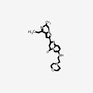 CCc1nc(C)cn2nc(-c3cc(=O)n4cc(NCCN5CCOCC5)ccc4n3)cc12